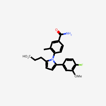 COc1cc(-c2ccc(CCC(=O)O)n2-c2ccc(C(N)=O)cc2C)ccc1F